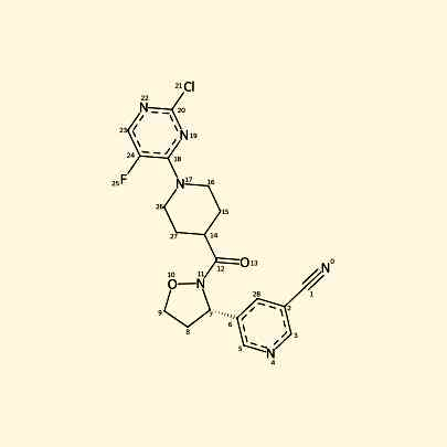 N#Cc1cncc([C@@H]2CCON2C(=O)C2CCN(c3nc(Cl)ncc3F)CC2)c1